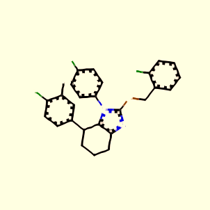 Cc1cc(C2CCCc3nc(SCc4ccccc4F)n(-c4ccc(F)cc4)c32)ccc1Cl